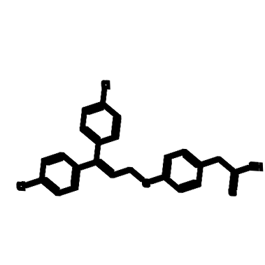 O=C(O)Cc1ccc(OCC=C(c2ccc(Cl)cc2)c2ccc(Cl)cc2)cc1